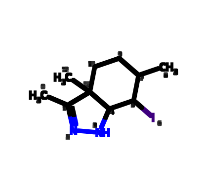 CC1=NNC2C(I)C(C)CCC12C